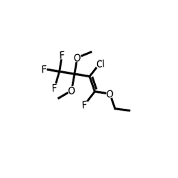 CCOC(F)=C(Cl)C(OC)(OC)C(F)(F)F